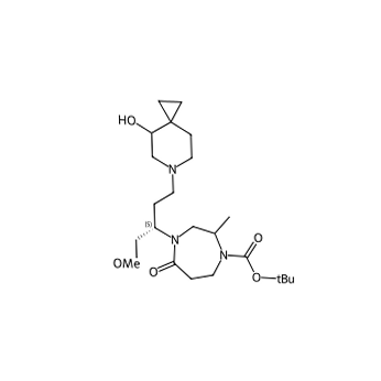 COC[C@H](CCN1CCC2(CC2)C(O)C1)N1CC(C)N(C(=O)OC(C)(C)C)CCC1=O